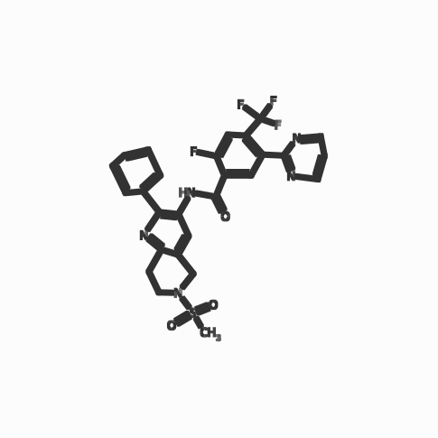 CS(=O)(=O)N1CCc2nc(-c3ccccc3)c(NC(=O)c3cc(-c4ncccn4)c(C(F)(F)F)cc3F)cc2C1